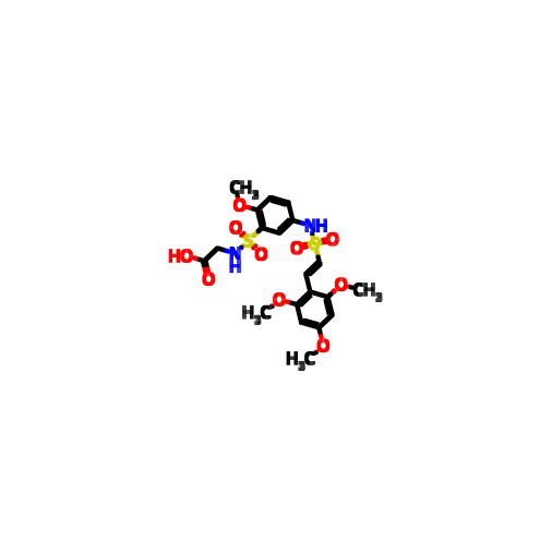 COc1cc(OC)c(C=CS(=O)(=O)Nc2ccc(OC)c(S(=O)(=O)NCC(=O)O)c2)c(OC)c1